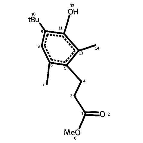 COC(=O)CCc1c(C)cc(C(C)(C)C)c(O)c1C